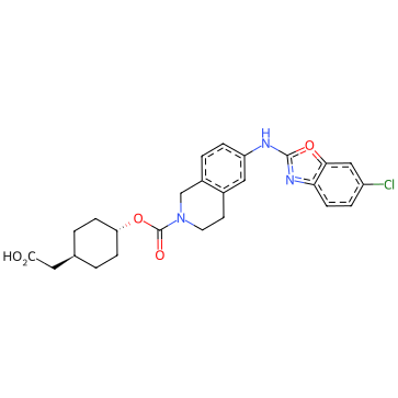 O=C(O)C[C@H]1CC[C@H](OC(=O)N2CCc3cc(Nc4nc5ccc(Cl)cc5o4)ccc3C2)CC1